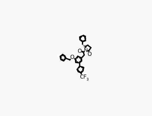 O=C1CC[C@@H](Cc2ccccc2)N1C(=O)Cc1cc(OCc2ccccc2)cc(-c2ccc(C(F)(F)F)cc2)c1